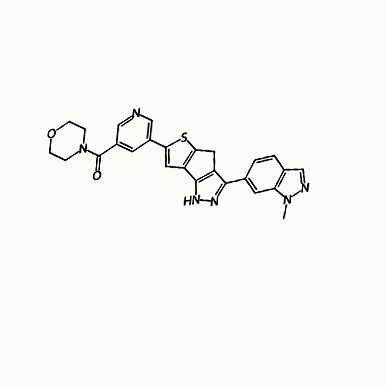 Cn1ncc2ccc(-c3n[nH]c4c3Cc3sc(-c5cncc(C(=O)N6CCOCC6)c5)cc3-4)cc21